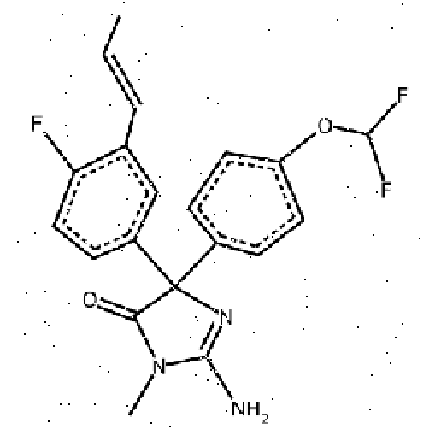 C/C=C/c1cc(C2(c3ccc(OC(F)F)cc3)N=C(N)N(C)C2=O)ccc1F